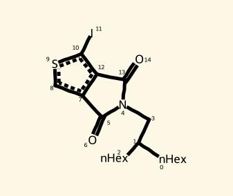 CCCCCCC(CCCCCC)CN1C(=O)c2csc(I)c2C1=O